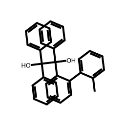 Cc1ccccc1-c1ccccc1C(O)(c1ccccc1)C(O)(c1ccccc1)c1ccccc1